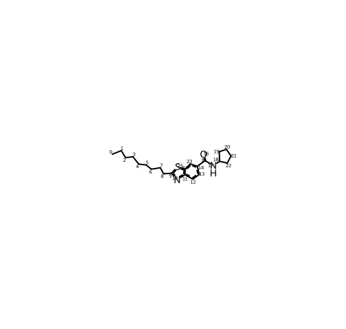 CCCCCCCCCc1nc2ccc(C(=O)NC3CCCC3)cc2s1